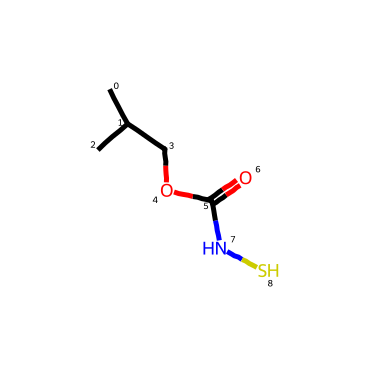 CC(C)COC(=O)NS